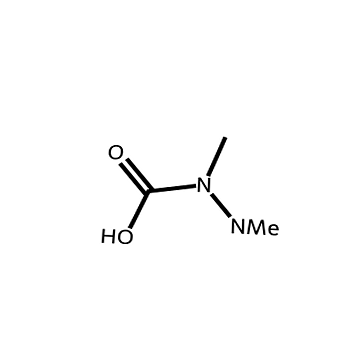 CNN(C)C(=O)O